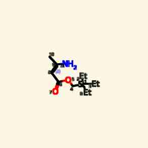 CC[Si](CC)(CC)COC(=O)/C=C(/C)N